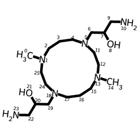 CN1CCCN(CC(O)CN)CCN(C)CCCN(CC(O)CN)CC1